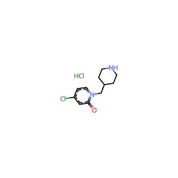 Cl.O=c1cc(Cl)ccn1CC1CCNCC1